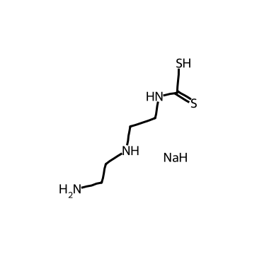 NCCNCCNC(=S)S.[NaH]